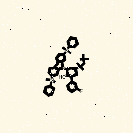 CC(C)(C)CC(C)(C)c1cc(-c2cccc(F)c2)c(O)c(-n2c3cc([Si](C)(C)c4ccccc4)ccc3c3ccc([Si](C)(C)c4ccccc4)cc32)c1